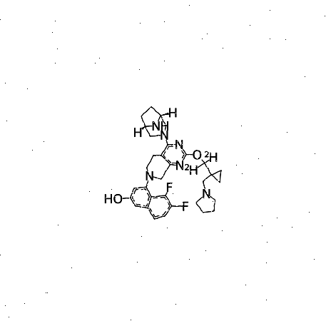 [2H]C([2H])(Oc1nc2c(c(N3C[C@H]4CC[C@@H](C3)N4)n1)CCN(c1cc(O)cc3ccc(F)c(F)c13)C2)C1(CN2CCCC2)CC1